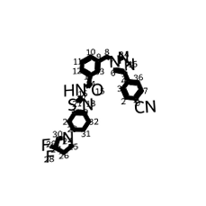 N#Cc1ccc(-c2cn(Cc3cccc(C(=O)Nc4nc5c(s4)CC(N4CCC(F)(F)C4)CC5)c3)nn2)cc1